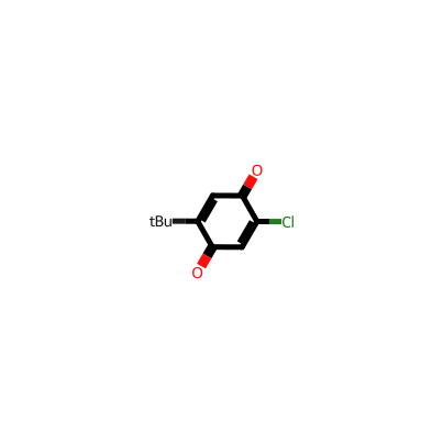 CC(C)(C)C1=CC(=O)C(Cl)=CC1=O